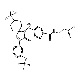 C[C@H](c1ccc(C(=O)NCCC(=O)O)cc1)N1C(=O)C(c2cccc(OC(F)(F)F)c2)=NC12CCC(C(C)(C)C)CC2